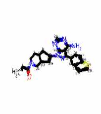 C=CC(=O)N1CCC2CC(n3nc(-c4ccc5sccc5c4)c4c(N)ncnc43)CC2C1